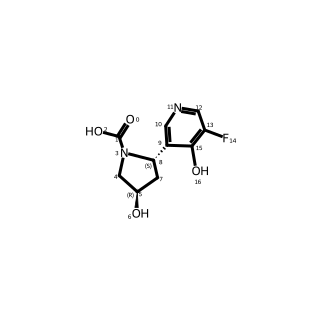 O=C(O)N1C[C@H](O)C[C@H]1c1cncc(F)c1O